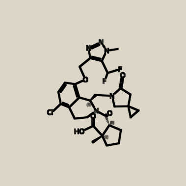 Cn1nnc(COc2ccc(Cl)c3c2[C@@H](CN2CC4(CC4)CC2=O)N(C(=O)[C@@H]2CCC[C@]2(C)C(=O)O)CC3)c1C(F)F